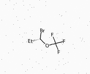 CC[C@H](Br)OC(F)(F)F